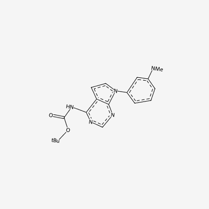 CNc1cccc(-n2ccc3c(NC(=O)OC(C)(C)C)ncnc32)c1